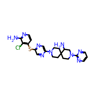 Nc1nccc(Sc2cnc(N3CCC4(CC3)CCN(c3ncccn3)CC4N)cn2)c1Cl